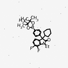 CCN1C(=O)C(c2ccc(B3OC(C)(C)C(C)(C)O3)cc2)(C2CCCCC2)c2ccc(F)c(F)c21